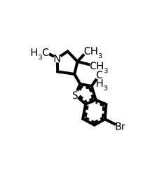 Cc1c(C2CN(C)CC2(C)C)sc2ccc(Br)cc12